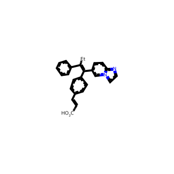 CC/C(=C(/c1ccc(/C=C/C(=O)O)cc1)c1ccc2nccn2c1)c1ccccc1